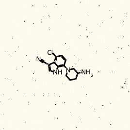 N#Cc1c[nH]c2c(N3CCCC(N)C3)ccc(Cl)c12